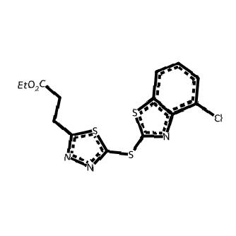 CCOC(=O)CCc1nnc(Sc2nc3c(Cl)cccc3s2)s1